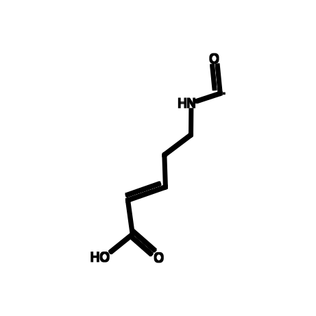 O=[C]NCC/C=C/C(=O)O